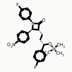 C[Si](C)(C)O[C@@H](CC[C@H]1C(=O)N(c2ccc(F)cc2)[C@@H]1c1ccc([N+](=O)[O-])cc1)c1ccc(F)cc1